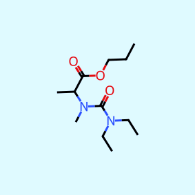 CCCOC(=O)C(C)N(C)C(=O)N(CC)CC